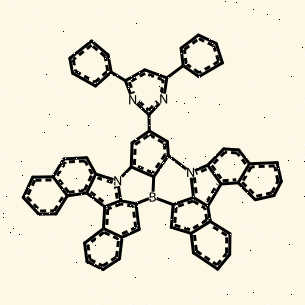 c1ccc(-c2cc(-c3ccccc3)nc(-c3cc4c5c(c3)-n3c6ccc7ccccc7c6c6c7ccccc7cc(c63)B5c3cc5ccccc5c5c6c7ccccc7ccc6n-4c35)n2)cc1